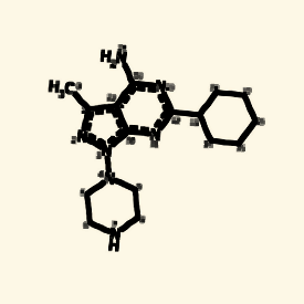 Cc1nn(N2CCNCC2)c2nc(C3CCCCC3)nc(N)c12